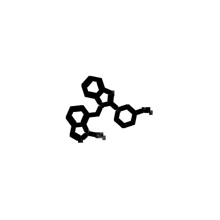 Cn1ncc2cccc(Cn3c(N4CCCC(N)C4)nc4ccccc43)c21